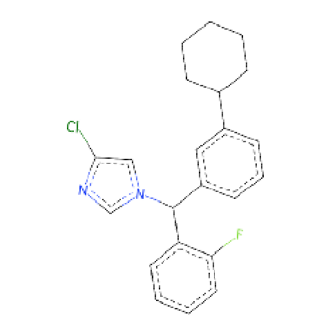 Fc1ccccc1C(c1cccc(C2CCCCC2)c1)n1cnc(Cl)c1